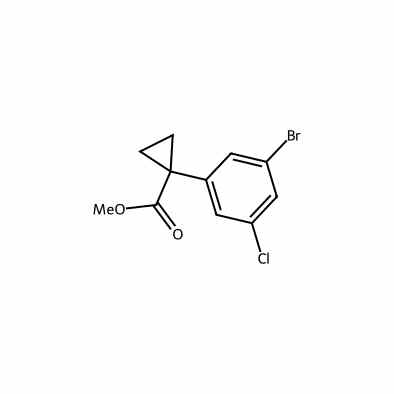 COC(=O)C1(c2cc(Cl)cc(Br)c2)CC1